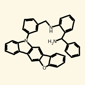 NC(c1ccccc1)c1ccccc1NCc1cccc(-n2c3ccccc3c3cc4oc5ccccc5c4cc32)c1